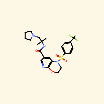 CC(C)(CN1CCCC1)NC(=O)c1cnc2c(c1)N(S(=O)(=O)c1ccc(C(F)(F)F)cc1)CCO2